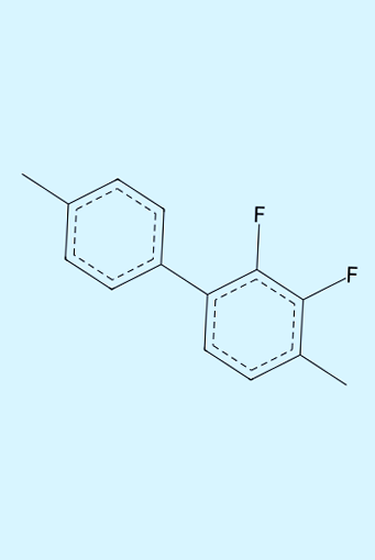 Cc1ccc(-c2ccc(C)c(F)c2F)cc1